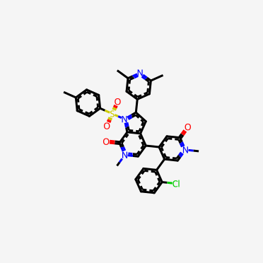 Cc1ccc(S(=O)(=O)n2c(-c3cc(C)nc(C)c3)cc3c(-c4cc(=O)n(C)cc4-c4ccccc4Cl)cn(C)c(=O)c32)cc1